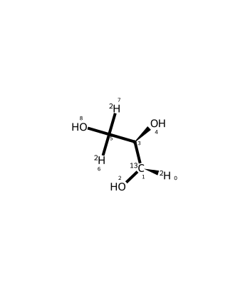 [2H][13C@@H](O)[C@H](O)C([2H])([2H])O